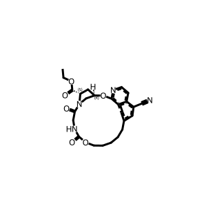 CCOC(=O)[C@@H]1C[C@@H]2CN1C(=O)CNC(=O)OCCCCCc1cc(C#N)c3ccnc(c3c1)O2